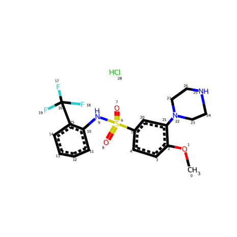 COc1ccc(S(=O)(=O)Nc2ccccc2C(F)(F)F)cc1N1CCNCC1.Cl